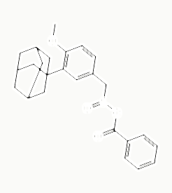 COc1ccc(CS(=O)OC(=O)c2ccccc2)cc1C12CC3CC(CC(C3)C1)C2